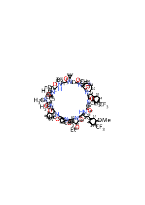 CCC[C@H]1C(=O)N[C@@H]([C@@H](C)CC)C(=O)N(C2CC2)CC(=O)N(C)[C@H]2C/C=C\CCN(C2=O)[C@@H](Cc2ccc(C(F)(F)F)cc2)C(=O)N(C)CC(=O)N[C@@H](CCc2ccc(C(F)(F)F)c(OC)c2)C(=O)N2C[C@H](OCC)C[C@H]2C(=O)N(C)C2(CCC2)C(=O)N(C)[C@@H](C2CCCC2)C(=O)N(C)[C@H](C(=O)N(C)C)CC(=O)N1C